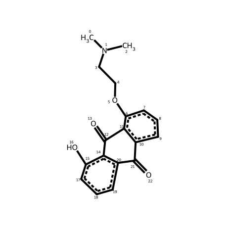 CN(C)CCOc1cccc2c1C(=O)c1c(O)cccc1C2=O